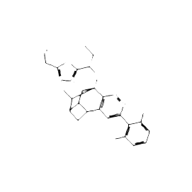 CC[C@@H](O[C@@]12CC3C(C[C@@H]3c3cc(-c4c(F)cccc4F)nnc31)C2C)c1nnc(CO)o1